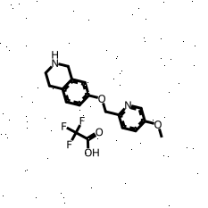 COc1ccc(COc2ccc3c(c2)CNCC3)nc1.O=C(O)C(F)(F)F